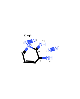 N#N.N#N.N=C1C=CC=NC1=N.[Fe]